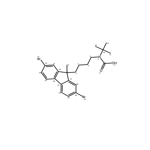 CC1(CCCCN(C(=O)O)C(C)(C)C)c2cc(Br)ccc2-c2ccc(Br)cc21